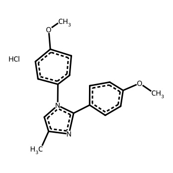 COc1ccc(-c2nc(C)cn2-c2ccc(OC)cc2)cc1.Cl